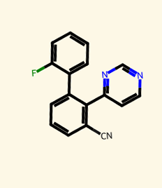 N#Cc1cccc(-c2ccccc2F)c1-c1ccncn1